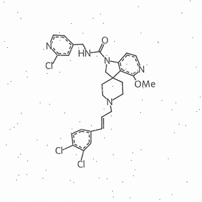 COc1nccc2c1C1(CCN(C/C=C/c3ccc(Cl)c(Cl)c3)CC1)CN2C(=O)NCc1ccnc(Cl)c1